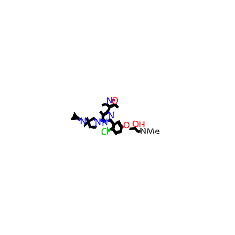 CNC[C@@H](O)COc1ccc(Cl)c(-c2nc(-c3c(C)noc3C)c(C)c(N3CCC4(C3)CN(C3CC3)C4)n2)c1